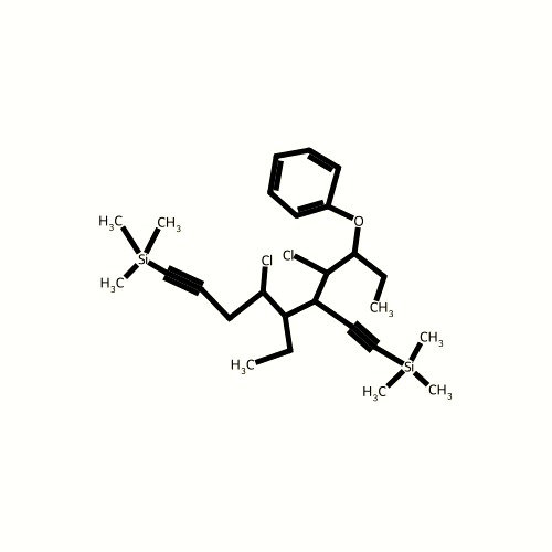 CCC(Oc1ccccc1)C(Cl)C(C#C[Si](C)(C)C)C(CC)C(Cl)CC#C[Si](C)(C)C